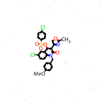 COc1ccc(Cn2c(=O)c(-c3coc(C)n3)c(OS(=O)(=O)c3ccc(Cl)cc3)c3cc(Cl)ccc32)cc1